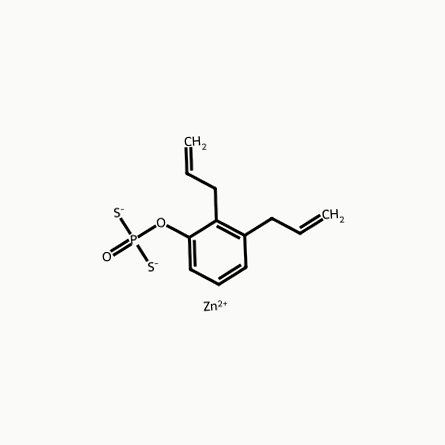 C=CCc1cccc(OP(=O)([S-])[S-])c1CC=C.[Zn+2]